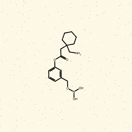 NCC1(CC(=O)Oc2cccc(CON(O)O)c2)CCCCC1